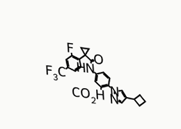 O=C(O)c1cc(NC(=O)C2(c3ccc(C(F)(F)F)cc3F)CC2)ccc1-n1cc(C2CCC2)cn1